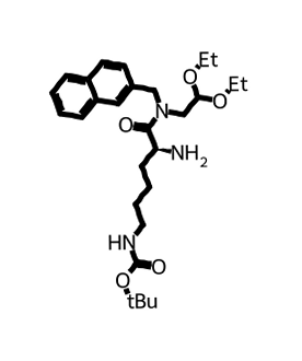 CCOC(CN(Cc1ccc2ccccc2c1)C(=O)[C@@H](N)CCCCNC(=O)OC(C)(C)C)OCC